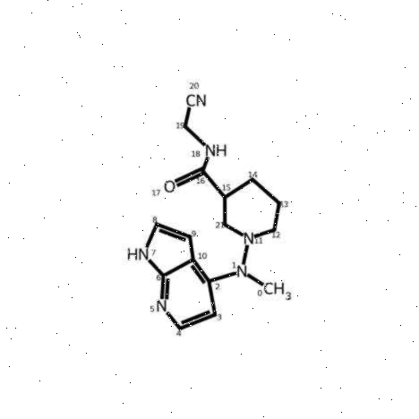 CN(c1ccnc2[nH]ccc12)N1CCCC(C(=O)NCC#N)C1